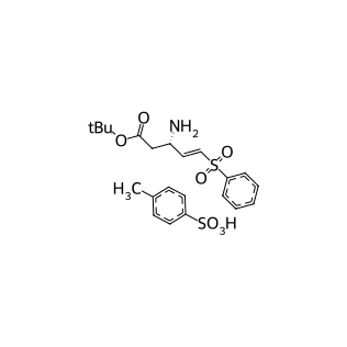 CC(C)(C)OC(=O)C[C@H](N)C=CS(=O)(=O)c1ccccc1.Cc1ccc(S(=O)(=O)O)cc1